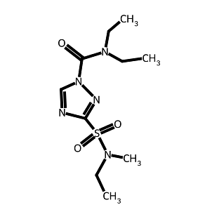 CCN(CC)C(=O)n1cnc(S(=O)(=O)N(C)CC)n1